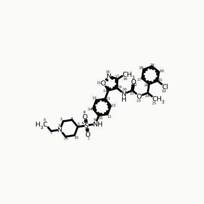 CCN1CCC(S(=O)(=O)Nc2ccc(-c3onc(C)c3NC(=O)OC(C)c3ccccc3Cl)cc2)CC1